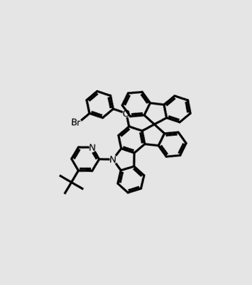 CC(C)(C)c1ccnc(-n2c3ccccc3c3c4c(c(Oc5cccc(Br)c5)cc32)C2(c3ccccc3-c3ccccc32)c2ccccc2-4)c1